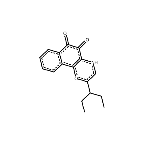 CCC(CC)c1c[nH]c2c(=O)c(=O)c3ccccc3c=2o1